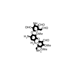 COC1C(O[C@H]2O[C@H](CN)[C@@H](OC)C(OC)C2C=O)[C@@H](N)C[C@@H](N)[C@@H]1O[C@H]1OC(CC=O)[C@@H](C=O)C(N)[C@@H]1C=O